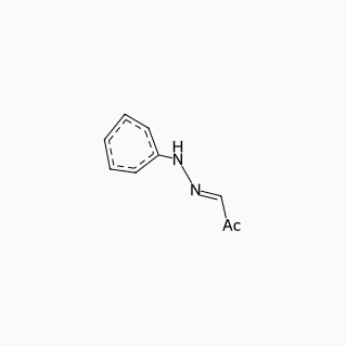 CC(=O)C=NNc1ccccc1